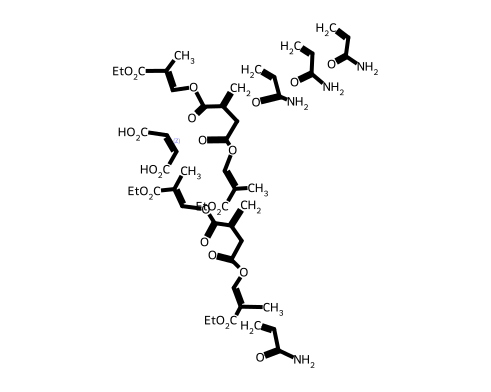 C=C(CC(=O)OC=C(C)C(=O)OCC)C(=O)OC=C(C)C(=O)OCC.C=C(CC(=O)OC=C(C)C(=O)OCC)C(=O)OC=C(C)C(=O)OCC.C=CC(N)=O.C=CC(N)=O.C=CC(N)=O.C=CC(N)=O.O=C(O)/C=C\C(=O)O